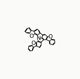 c1ccc2c(c1)oc1c2ccc2c3cc4oc5ccccc5c4c4c5ccc6c7ccccc7oc6c5n(c21)c34